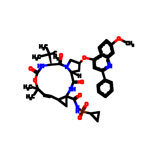 COc1ccc2c(O[C@@H]3C[C@H]4C(=O)NC5(C(=O)NS(=O)(=O)C6CC6)CC5/C=C/C(C)(C)OC(=O)N[C@H](C(C)(C)C)C(=O)N4C3)cc(-c3ccccc3)nc2c1